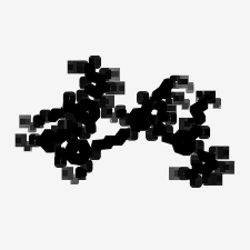 C=C(CC)CN1CC(O)N(C(=O)OCc2ccc(O[C@@H]3O[C@H](C(=O)O)[C@@H](O)C(O)[C@H]3O)c(C(=O)NCCCN)c2)c2cc(OCCCCCOc3cc4c(cc3OC)C(=O)N3CC(=C)C[C@H]3C(O)N4C(=O)OCc3ccc(O[C@@H]4O[C@H](C(=O)O)[C@@H](O)C(O)[C@H]4O)c(C(=O)NCCOC)c3)c(OC)cc2C1=O